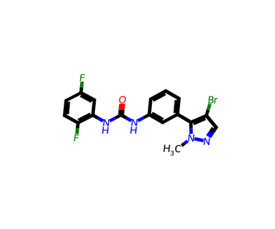 Cn1ncc(Br)c1-c1cccc(NC(=O)Nc2cc(F)ccc2F)c1